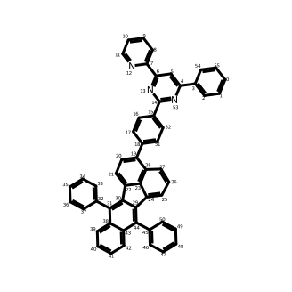 c1ccc(-c2cc(-c3ccccn3)nc(-c3ccc(-c4ccc5c6c(cccc46)-c4c-5c(-c5ccccc5)c5ccccc5c4-c4ccccc4)cc3)n2)cc1